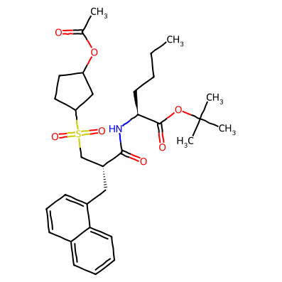 CCCC[C@H](NC(=O)[C@H](Cc1cccc2ccccc12)CS(=O)(=O)C1CCC(OC(C)=O)C1)C(=O)OC(C)(C)C